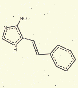 O=Nc1nc[nH]c1/C=C/c1ccccc1